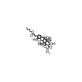 CCCCOC(=O)/C=C/c1ccc2c(c1O)C(=O)C1=C(O)[C@]3(O)C(=O)C(C(N)=O)C(O)[C@@H](N(C)C)[C@@H]3[C@@H](O)[C@@H]1[C@H]2C